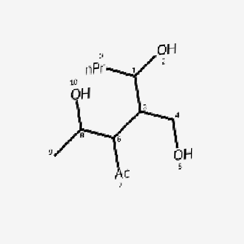 CCCC(O)C(CO)C(C(C)=O)C(C)O